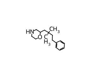 CC(C)(CCc1ccccc1)CC1CNCCO1